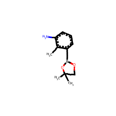 Cc1c(N)cccc1B1OCC(C)(C)O1